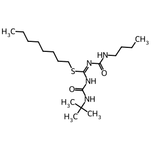 CCCCCCCCSC(=NC(=O)NCCCC)NC(=O)NC(C)(C)C